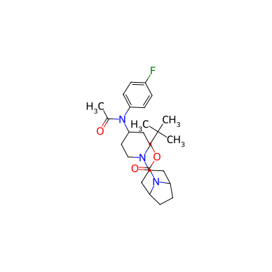 CC(=O)N(c1ccc(F)cc1)C1CCN(C2CC3CCC(C2)N3C(=O)OCC(C)(C)C)CC1